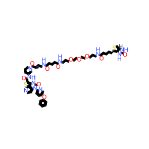 O=C(CCCC(=O)NCCCOCCOCCOCCCNC(=O)CCCC[C@H]1SC[C@H]2NC(=O)NC21)NC/C=C/C(=O)N1CCCC(NC(=O)c2sc3nccc4c3c2NC(=O)N4c2ccc(Oc3ccccc3)cn2)C1